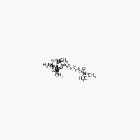 CCN(CC)C(=O)OCCCCCCS[C@@H]1O[C@@H]2O[C@]3(C)CC[C@H]4[C@H](C)CC[C@@H]([C@H]1C)[C@@]24OO3